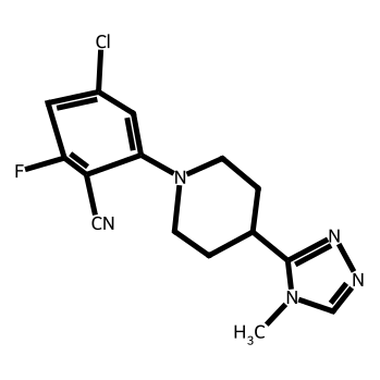 Cn1cnnc1C1CCN(c2cc(Cl)cc(F)c2C#N)CC1